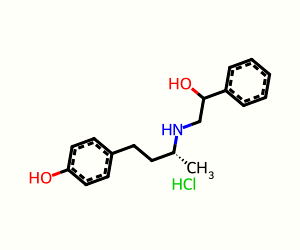 C[C@H](CCc1ccc(O)cc1)NCC(O)c1ccccc1.Cl